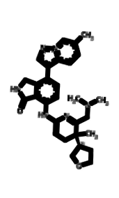 Cc1ccc2c(-c3ccc(NC4=CCC(C)([C@H]5CCOC5)C(CN(C)C)=N4)c4c3CNC4=O)cnn2c1